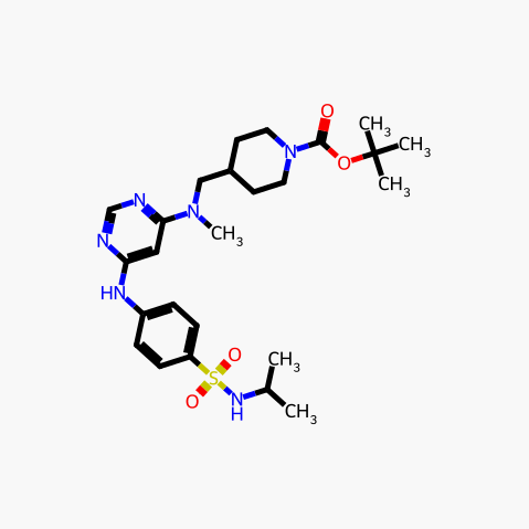 CC(C)NS(=O)(=O)c1ccc(Nc2cc(N(C)CC3CCN(C(=O)OC(C)(C)C)CC3)ncn2)cc1